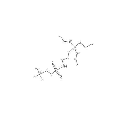 CCO[Si](CCCNS(=O)(=O)CCC(C)(C)C)(OCC)OCC